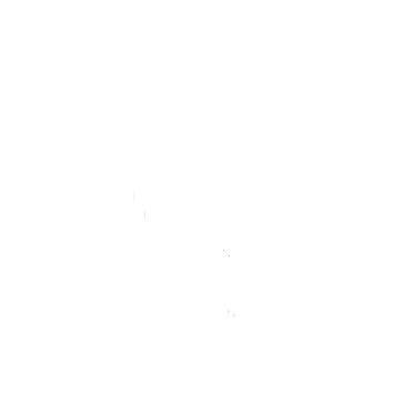 CC1CCCCC1CC(O)c1c(C(F)(F)F)sc2cncn12